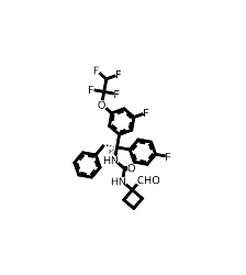 O=CC1(NC(=O)N[C@](Cc2ccccc2)(c2ccc(F)cc2)c2cc(F)cc(OC(F)(F)C(F)F)c2)CCC1